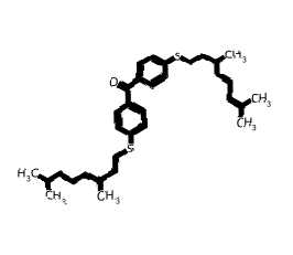 CC(C)CCCC(C)CCSc1ccc(C(=O)c2ccc(SCCC(C)CCCC(C)C)cc2)cc1